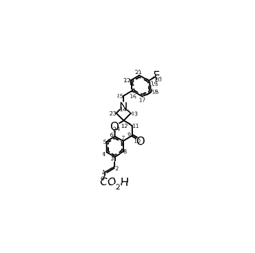 O=C(O)C=Cc1ccc2c(c1)C(=O)CC1(CN(Cc3ccc(F)cc3)C1)O2